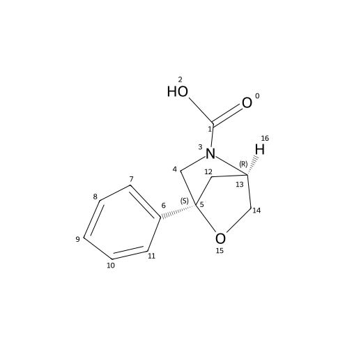 O=C(O)N1C[C@@]2(c3ccccc3)C[C@@H]1CO2